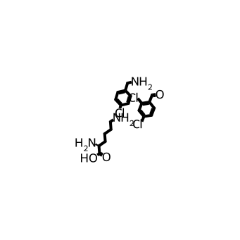 NCCCC[C@H](N)C(=O)O.NCc1ccc(Cl)cc1.O=Cc1ccc(Cl)cc1Cl